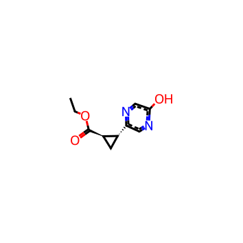 CCOC(=O)[C@@H]1C[C@H]1c1cnc(O)cn1